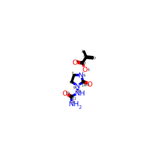 C=C(C)C(=O)ON1CCN(NC(N)=O)C1=O